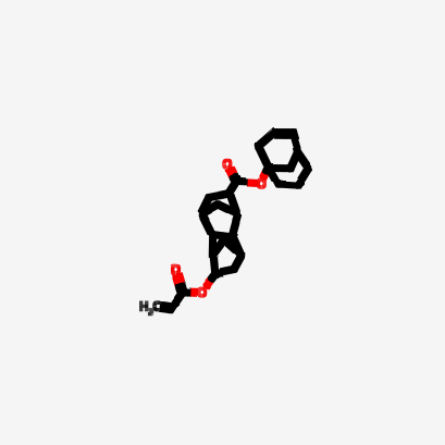 C=CC(=O)OC1CC2CC1C1C3CC(C(=O)OC45CC=CC(CCC4)C5)C(C3)C21